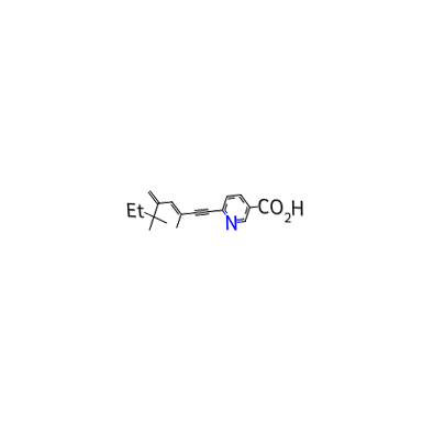 C=C(/C=C(\C)C#Cc1ccc(C(=O)O)cn1)C(C)(C)CC